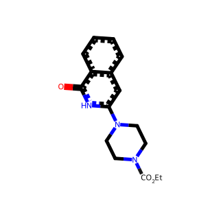 CCOC(=O)N1CCN(c2cc3ccccc3c(=O)[nH]2)CC1